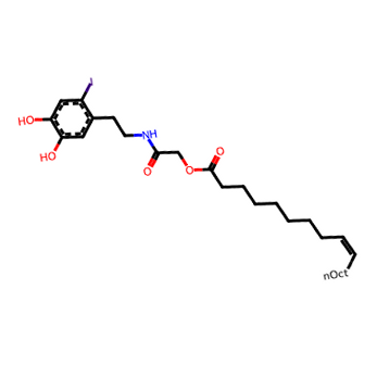 CCCCCCCC/C=C\CCCCCCCC(=O)OCC(=O)NCCc1cc(O)c(O)cc1I